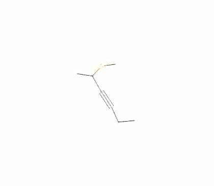 [CH2]CC#CC(C)SC